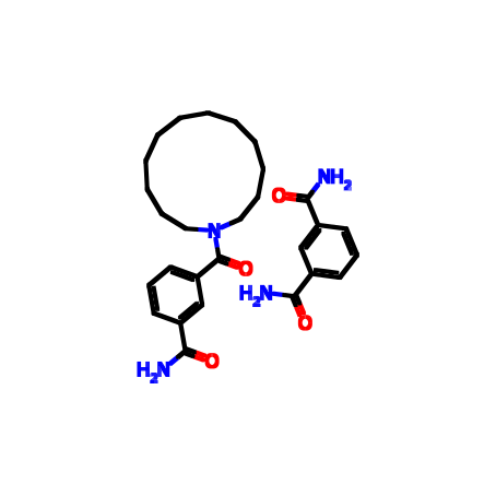 NC(=O)c1cccc(C(=O)N2CCCCCCCCCCCC2)c1.NC(=O)c1cccc(C(N)=O)c1